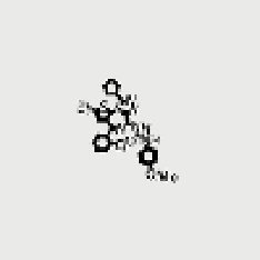 CCc1cc2c(s1)-n1c(C3CCCC3)nnc1C(NC(=O)Nc1ccc(OC)cc1)N=C2c1ccccc1Cl